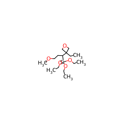 CCO[Si](OCC)(OCC)C(CCOC)C1(CC)COC1